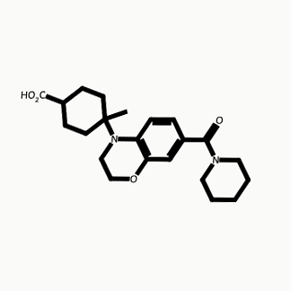 CC1(N2CCOc3cc(C(=O)N4CCCCC4)ccc32)CCC(C(=O)O)CC1